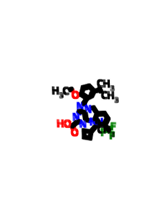 CCOc1ccc(C(C)C)cc1-c1nc2nc(C(=O)O)nc(N[C@H](C)C3CCC3)c2n1Cc1ccc(C(F)(F)F)cc1